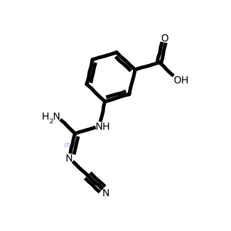 N#C/N=C(/N)Nc1cccc(C(=O)O)c1